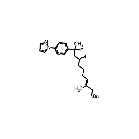 C/C(=C\CCCC(I)CC(C)(F)c1ccc(-n2cccn2)cc1)CC(C)(C)C